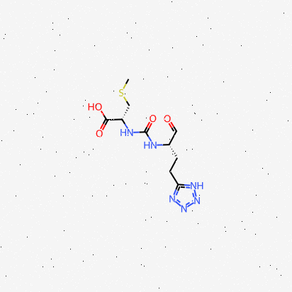 CSC[C@H](NC(=O)N[C@H](C=O)CCc1nnn[nH]1)C(=O)O